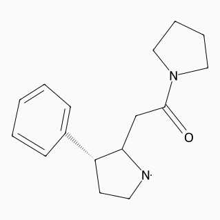 O=C(CC1[N]CC[C@@H]1c1ccccc1)N1CCCC1